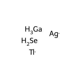 [Ag].[GaH3].[SeH2].[Tl]